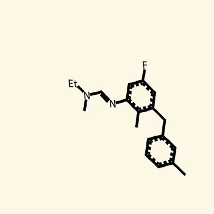 CCN(C)/C=N/c1cc(F)cc(Cc2cccc(C)c2)c1C